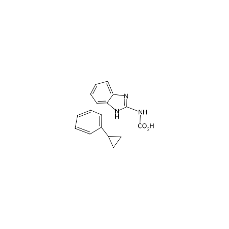 O=C(O)Nc1nc2ccccc2[nH]1.c1ccc(C2CC2)cc1